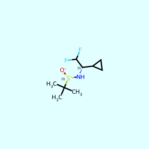 CC(C)(C)[S@@+]([O-])N[C@H](C(F)F)C1CC1